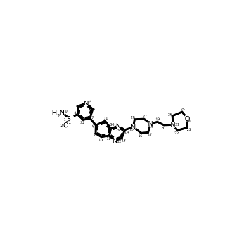 N[S+]([O-])c1cncc(-c2ccc3ncc(N4CCN(CCN5CCOCC5)CC4)nc3c2)c1